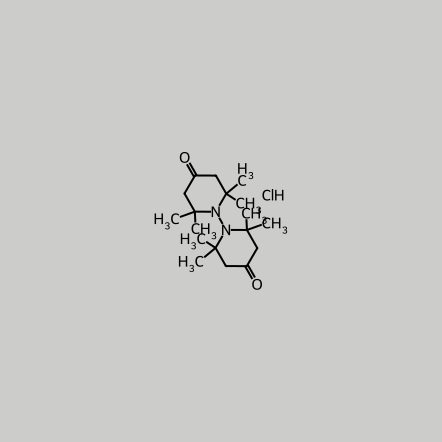 CC1(C)CC(=O)CC(C)(C)N1N1C(C)(C)CC(=O)CC1(C)C.Cl